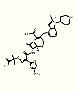 CC(C)(O/N=C(\C(=O)N[C@@H]1C(=O)N2C(C(=O)O)=C(C[n+]3cccc4c3cc(N)n4C3CCNCC3)CS[C@H]12)c1nsc(N)n1)C(=O)O